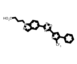 O=C(O)CCCn1ncc2cc(-c3noc(-c4cc(-c5ccccc5)c(C(F)(F)F)s4)n3)ccc21